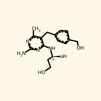 CCC[C@@H](CCO)Nc1nc(N)nc(C)c1Cc1ccc(CO)cc1